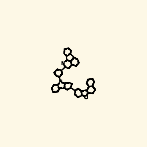 c1cc(-c2cc3cccc4c3c(n2)-c2ccccc2-4)cc(-n2c3ccccc3c3cc(-c4ccc5oc6ccc7ccccc7c6c5c4)ccc32)c1